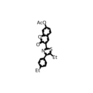 CCc1ccc(-c2nc(-c3cc4ccc(OC(C)=O)cc4oc3=O)sc2CC)cc1